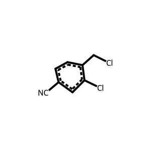 N#Cc1ccc(CCl)c(Cl)c1